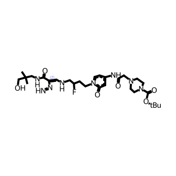 CC(C)(CO)CNC(=O)/C(=C/NCC(F)CCn1ccc(NC(=O)CN2CCN(C(=O)OC(C)(C)C)CC2)cc1=O)N=N